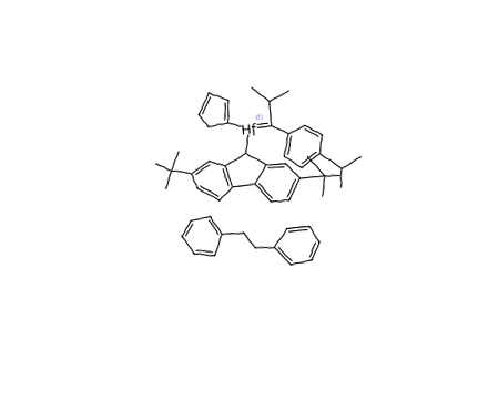 CC(C)/[C](c1ccc(C(C)C)cc1)=[Hf](\[C]1=CC=CC1)[CH]1c2cc(C(C)(C)C)ccc2-c2ccc(C(C)(C)C)cc21.c1ccc(CCc2ccccc2)cc1